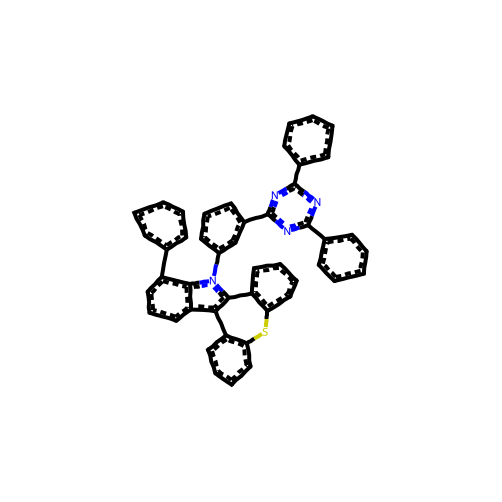 c1ccc(-c2nc(-c3ccccc3)nc(-c3cccc(-n4c5c(c6cccc(-c7ccccc7)c64)-c4ccccc4Sc4ccccc4-5)c3)n2)cc1